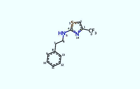 FC(F)(F)c1csc(NCCc2ccccc2)n1